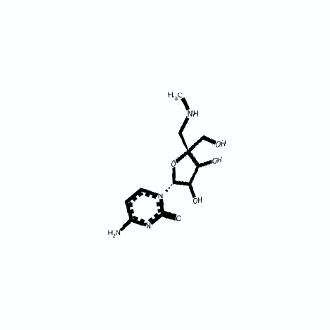 CNC[C@]1(CO)O[C@@H](n2ccc(N)nc2=O)C(O)C1O